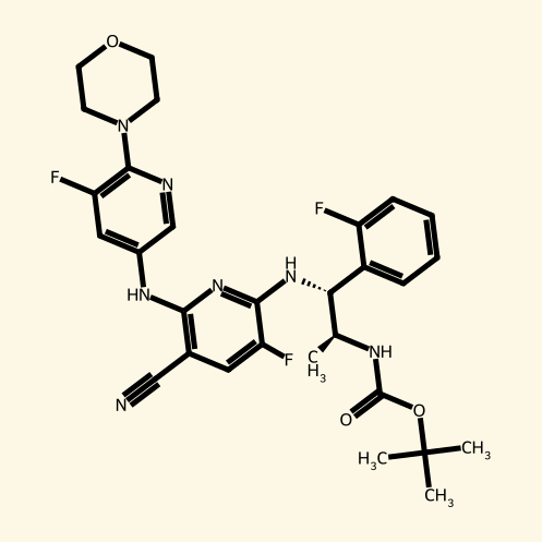 C[C@H](NC(=O)OC(C)(C)C)[C@H](Nc1nc(Nc2cnc(N3CCOCC3)c(F)c2)c(C#N)cc1F)c1ccccc1F